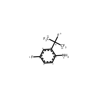 Nc1ccc(F)cc1C(F)(C(F)(F)F)C(F)(F)F